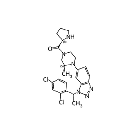 CC(c1ccc(Cl)cc1Cl)n1nnc2ccc(N3CCN(C(=O)[C@H]4CCCN4)C[C@@H]3C)cc21